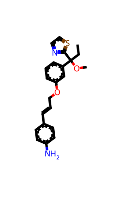 CCC(OC)(c1cccc(OCC=Cc2ccc(N)cc2)c1)c1nccs1